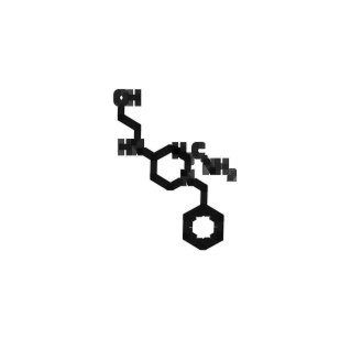 CN.OCCNC1CCN(Cc2ccccc2)CC1